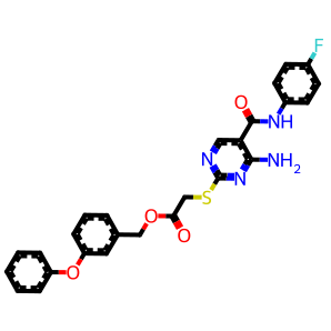 Nc1nc(SCC(=O)OCc2cccc(Oc3ccccc3)c2)ncc1C(=O)Nc1ccc(F)cc1